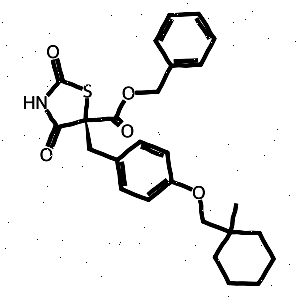 CC1(COc2ccc(C[C@]3(C(=O)OCc4ccccc4)SC(=O)NC3=O)cc2)CCCCC1